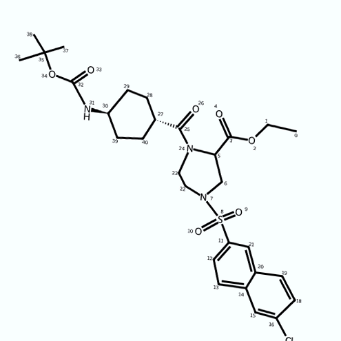 CCOC(=O)C1CN(S(=O)(=O)c2ccc3cc(Cl)ccc3c2)CCN1C(=O)[C@H]1CC[C@H](NC(=O)OC(C)(C)C)CC1